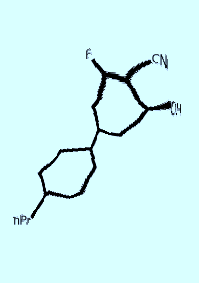 CCCC1CCC(C2CC(O)C(C#N)C(F)C2)CC1